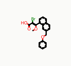 COC(=C(Br)C(=O)O)c1cccc2ccc(COc3ccccc3)cc12